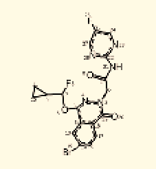 O=C(Cn1nc(OC(F)C2CC2)c2cc(Br)ccc2c1=O)Nc1ncc(F)cn1